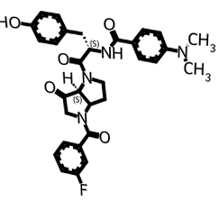 CN(C)c1ccc(C(=O)N[C@@H](Cc2ccc(O)cc2)C(=O)N2CCC3[C@H]2C(=O)CN3C(=O)c2cccc(F)c2)cc1